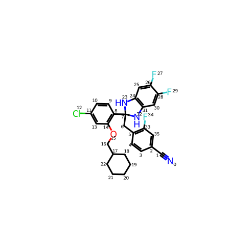 N#Cc1ccc(CC2(c3ccc(Cl)cc3OCC3CCCCC3)Nc3cc(F)c(F)cc3N2)c(F)c1